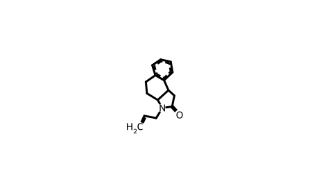 C=CCN1C(=O)CC2c3ccccc3CCC21